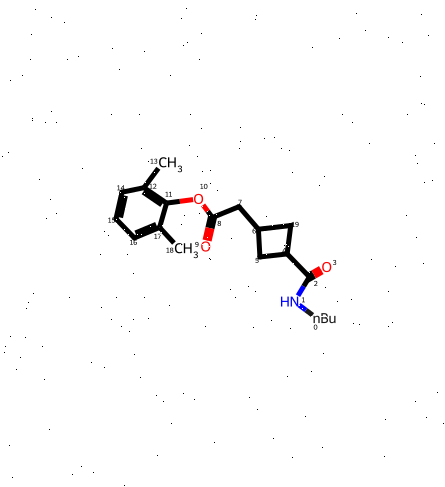 CCCCNC(=O)C1CC(CC(=O)Oc2c(C)cccc2C)C1